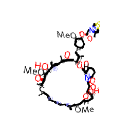 CO[C@H]1C[C@@H]2CC[C@@H](C)[C@@](O)(O2)C(=O)C(=O)N2CCCC[C@H]2C(=O)O[C@H]([C@H](C)C[C@@H]2CC[C@@H](OC(=O)C[n+]3cscc3C)[C@H](OC)C2)CC(=O)[C@H](C)/C=C(\C)[C@@H](O)[C@@H](OC)C(=O)[C@H](C)C[C@H](C)/C=C/C=C/C=C/1C